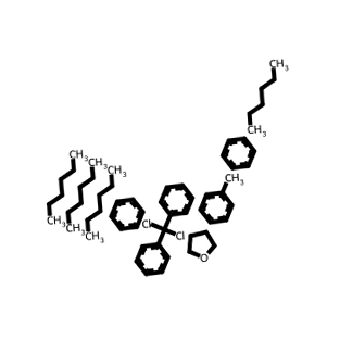 C1CCOC1.CCCCCC.CCCCCC.CCCCCC.CCCCCC.Cc1ccccc1.ClC(Cl)(c1ccccc1)c1ccccc1.c1ccccc1.c1ccccc1